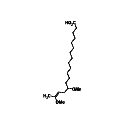 CO/C(C)=C\CC(CCCCCCCCCCCCC(=O)O)OC